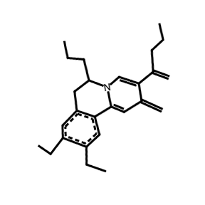 C=C1C=C2c3cc(CC)c(CC)cc3CC(CCC)N2C=C1C(=C)CCC